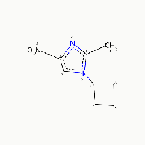 Cc1nc([N+](=O)[O-])cn1C1CCC1